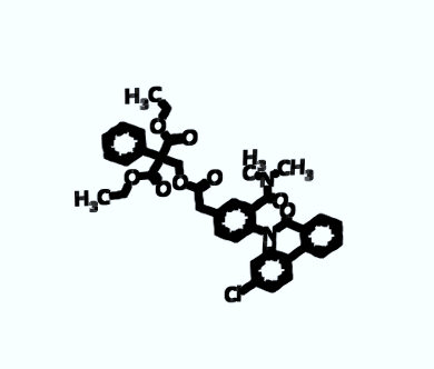 CCOC(=O)C(COC(=O)Cc1ccc(NC(=O)c2ccccc2-c2ccc(Cl)cc2)c(C(=O)N(C)C)c1)(C(=O)OCC)c1ccccc1